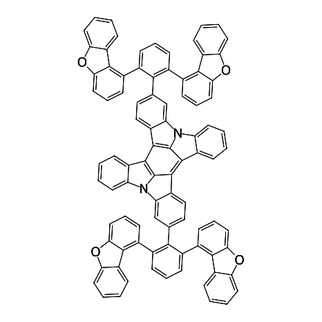 c1cc(-c2cccc3oc4ccccc4c23)c(-c2ccc3c4c5c6ccccc6n6c7cc(-c8c(-c9cccc%10oc%11ccccc%11c9%10)cccc8-c8cccc9oc%10ccccc%10c89)ccc7c(c7c8ccccc8n(c3c2)c74)c56)c(-c2cccc3oc4ccccc4c23)c1